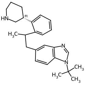 CC(Cc1ccc2c(c1)ncn2C(C)(C)C)c1ccccc1[C@H]1CCCNC1